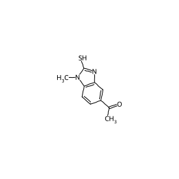 CC(=O)c1ccc2c(c1)nc(S)n2C